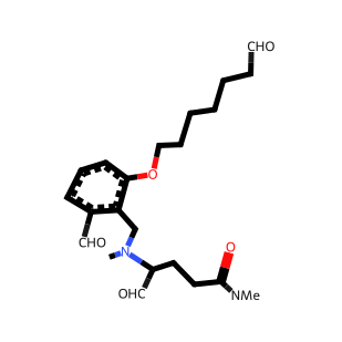 CNC(=O)CCC(C=O)N(C)Cc1c(C=O)cccc1OCCCCCCC=O